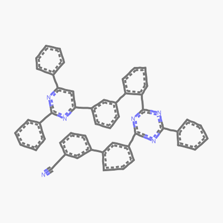 N#Cc1cccc(-c2cccc(-c3nc(-c4ccccc4)nc(-c4ccccc4-c4cccc(-c5cc(-c6ccccc6)nc(-c6ccccc6)n5)c4)n3)c2)c1